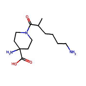 CC(CCCCN)C(=O)N1CCC(N)(C(=O)O)CC1